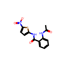 CC(=O)Nc1ccccc1C(=O)Nc1ccc([N+](=O)[O-])s1